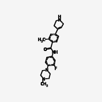 Cc1cc(C2=CCNCC2)ccc1C(=O)Nc1ccc(N2CCN(C)CC2)c(F)c1